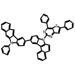 c1ccc(-c2cc3nc(-n4c5ccc(-c6ccc7c(c6)c6cc8ccccc8cc6n7-c6ccccc6)cc5c5c6ccccc6ccc54)nc(-c4ccccc4)c3s2)cc1